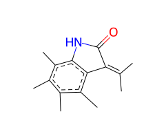 CC(C)=C1C(=O)Nc2c(C)c(C)c(C)c(C)c21